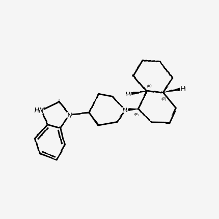 [CH]1Nc2ccccc2N1C1CCN([C@@H]2CCC[C@H]3CCCC[C@H]32)CC1